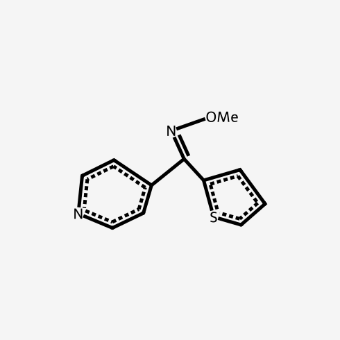 CON=C(c1ccncc1)c1cccs1